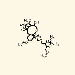 CCOC1CC2CC3(O)CCC(C)=C(C(O)COCC2(C)C(OCOCC2OC(C)(C)O[C@H]2COC)C1)C3(C)C